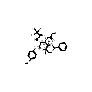 COc1ccc(O[C@H]2O[C@@H]3COC(c4ccccc4)O[C@H]3[C@H](OC(=O)CCl)[C@H]2NC(=O)C(Cl)(Cl)Cl)cc1